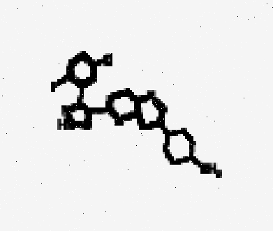 NC1CCC(c2cnc3ccc(-c4c[nH]nc4-c4cc(Cl)ccc4F)nc3c2)CC1